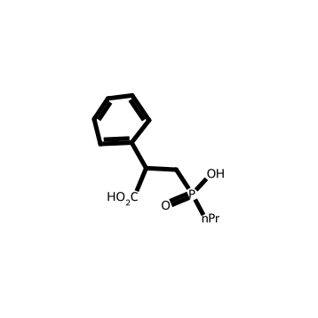 CCCP(=O)(O)CC(C(=O)O)c1ccccc1